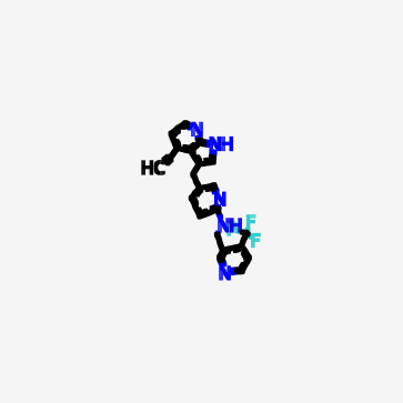 C#Cc1ccnc2[nH]cc(Cc3ccc(NCc4cnccc4C(F)(F)F)nc3)c12